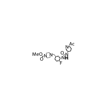 COC(=O)N1CCN(Cc2ccc(F)c(NC(=O)Nc3ccc(C(C)=O)nc3)c2)CC1